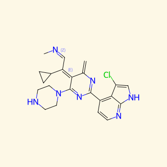 C=c1nc(-c2ccnc3[nH]cc(Cl)c23)nc(N2CCNCC2)/c1=C(/C=N\C)C1CC1